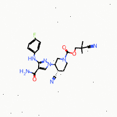 CC(C)(C#N)COC(=O)N1CC[C@H](C#N)[C@@H](n2cc(C(N)=O)c(Nc3ccc(F)cc3)n2)C1